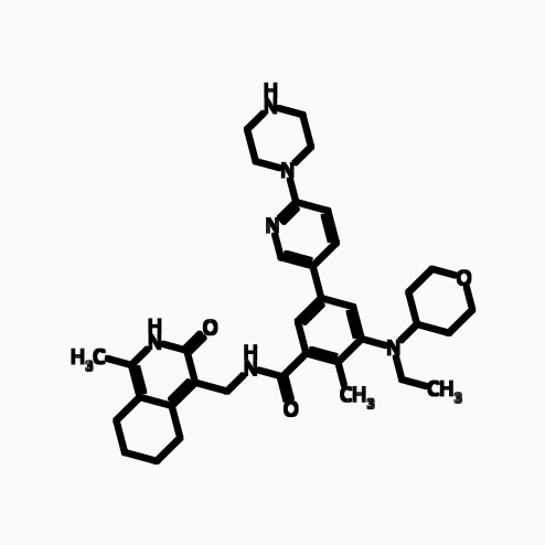 CCN(c1cc(-c2ccc(N3CCNCC3)nc2)cc(C(=O)NCc2c3c(c(C)[nH]c2=O)CCCC3)c1C)C1CCOCC1